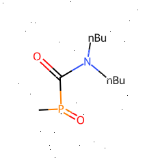 CCCCN(CCCC)C(=O)[P](C)=O